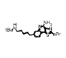 CCCc1nc2c(N)nc3cc(CCCCCNC(C)(C)C)ccc3c2s1